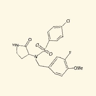 COc1ccc(CN(C2CCNC2=O)S(=O)(=O)c2ccc(Cl)cc2)cc1F